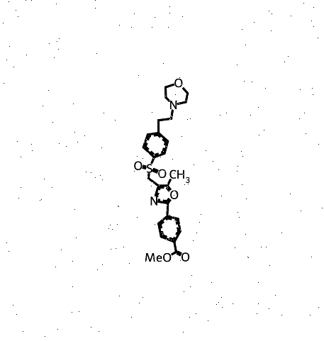 COC(=O)c1ccc(-c2nc(CS(=O)(=O)c3ccc(CCN4CCOCC4)cc3)c(C)o2)cc1